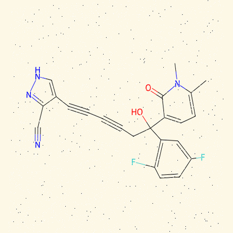 Cc1ccc(C(O)(CC#CC#Cc2c[nH]nc2C#N)c2cc(F)ccc2F)c(=O)n1C